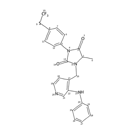 CC1C(=O)N(c2ccc(SC(F)(F)F)cc2)C(=O)N1Cc1ccncc1Nc1ccccc1